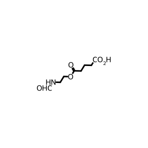 O=CNCCOC(=O)CCCC(=O)O